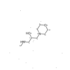 CNCC(O)CN1CCOCC1